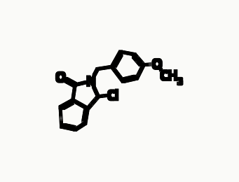 COc1ccc(CN2C(=O)c3ccccc3C2Cl)cc1